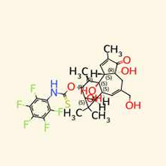 CC1=C[C@H]2[C@@]3(O)[C@H](C)[C@@H](OC(=S)Nc4c(F)c(F)c(F)c(F)c4F)[C@]4(O)[C@@H]([C@@H]3C=C(CO)C[C@]2(O)C1=O)C4(C)C